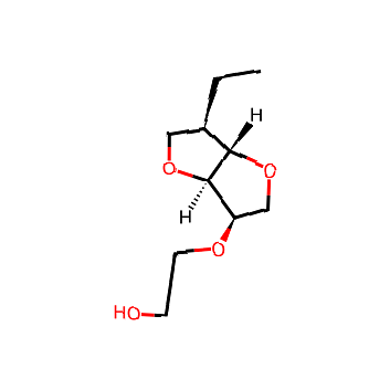 CC[C@@H]1CO[C@H]2[C@H]1OC[C@H]2OCCO